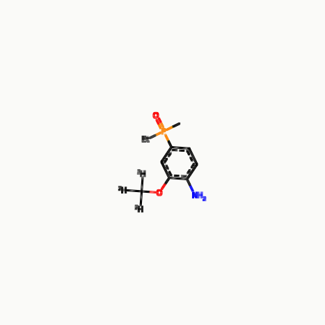 [2H]C([2H])([2H])Oc1cc(P(C)(=O)CC)ccc1N